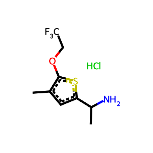 Cc1cc(C(C)N)sc1OCC(F)(F)F.Cl